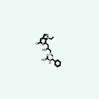 CCn1ncc2cc(Cl)nc(CC(O)COC[C@@H](NC(=O)O)c3ccccc3)c21